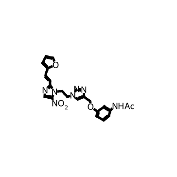 CC(=O)Nc1cccc(OCc2cn(CCn3c([N+](=O)[O-])cnc3/C=C/c3ccco3)nn2)c1